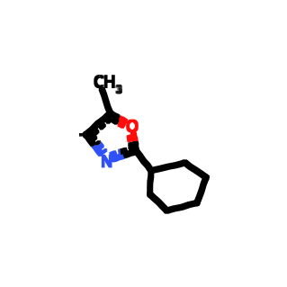 Cc1[c]nc(C2CCCCC2)o1